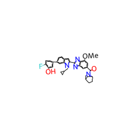 COc1cc(C(=O)N2CC3CCC2C3)cc2nc(-c3cc4ccc(-c5ccc(F)c(O)c5)cc4n3CC3CC3)n(C)c12